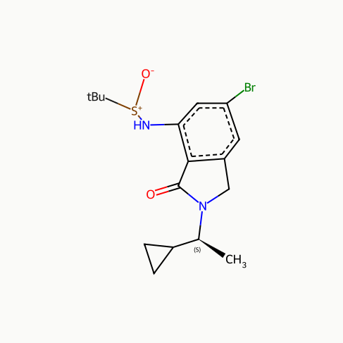 C[C@@H](C1CC1)N1Cc2cc(Br)cc(N[S+]([O-])C(C)(C)C)c2C1=O